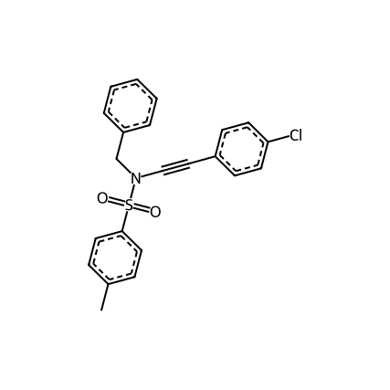 Cc1ccc(S(=O)(=O)N(C#Cc2ccc(Cl)cc2)Cc2ccccc2)cc1